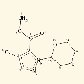 BOS(=O)c1c(F)cnn1C1CCCCO1